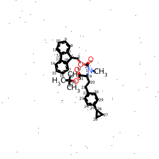 CN(C(=O)OCC1c2ccccc2-c2ccccc21)C(CCc1ccc(C2CC2)cc1)C(=O)OC(C)(C)C